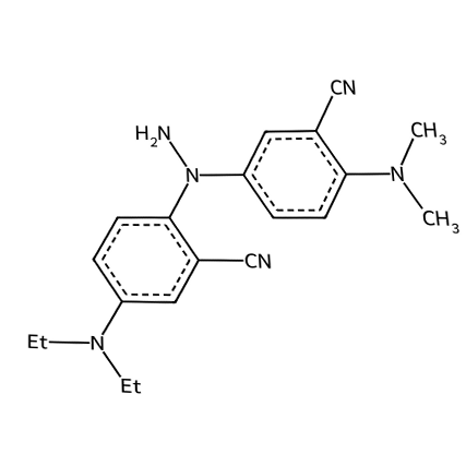 CCN(CC)c1ccc(N(N)c2ccc(N(C)C)c(C#N)c2)c(C#N)c1